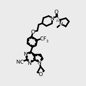 CN1CCC[C@H]1C(=O)N1CCC(CCOc2ccc(-c3nc(C#N)nc4c3ccn4C3COC3)cc2C(F)(F)F)CC1